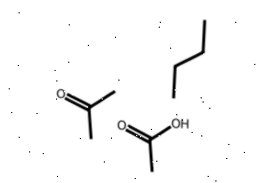 CC(=O)O.CC(C)=O.CCCC